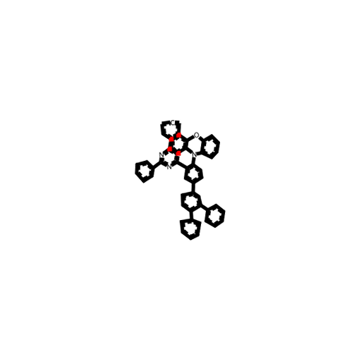 c1ccc(-c2nc(-c3ccccc3)nc(-c3cc(-c4ccc(-c5ccccc5)c(-c5ccccc5)c4)ccc3N3c4ccccc4Oc4ccccc43)n2)cc1